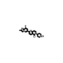 Cc1cn2cc(-c3ccc4c(=O)n(C5CCNCC5)ccc4n3)cc(F)c2n1